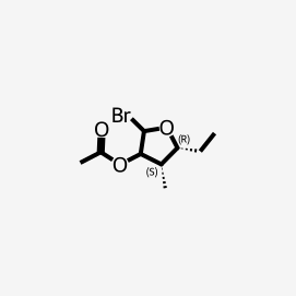 CC[C@H]1OC(Br)C(OC(C)=O)[C@H]1C